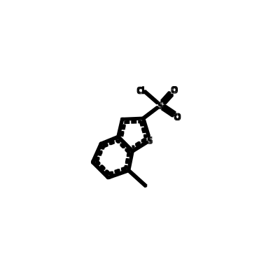 Cc1cccc2cc(S(=O)(=O)Cl)sc12